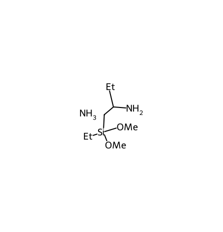 CCC(N)C[Si](CC)(OC)OC.N